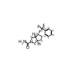 NC(=O)N1C[C@H]2C[C@@H](c3ccccc3C(F)(F)F)C[C@H]2C1